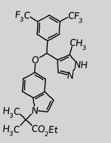 CCOC(=O)C(C)(C)n1ccc2cc(OC(c3cc(C(F)(F)F)cc(C(F)(F)F)c3)c3cn[nH]c3C)ccc21